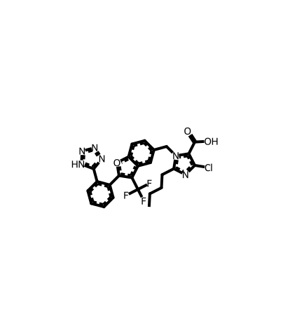 CCCCc1nc(Cl)c(C(=O)O)n1Cc1ccc2oc(-c3ccccc3-c3nnn[nH]3)c(C(F)(F)F)c2c1